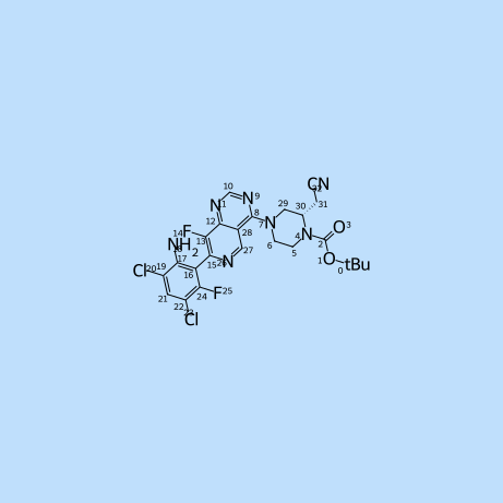 CC(C)(C)OC(=O)N1CCN(c2ncnc3c(F)c(-c4c(N)c(Cl)cc(Cl)c4F)ncc23)C[C@@H]1CC#N